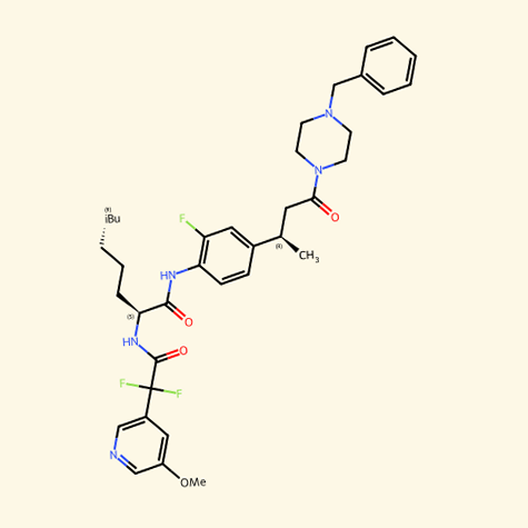 CC[C@@H](C)CCC[C@H](NC(=O)C(F)(F)c1cncc(OC)c1)C(=O)Nc1ccc([C@H](C)CC(=O)N2CCN(Cc3ccccc3)CC2)cc1F